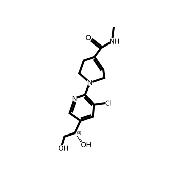 CNC(=O)C1=CCN(c2ncc([C@H](O)CO)cc2Cl)CC1